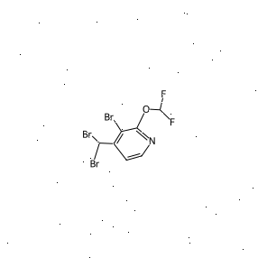 FC(F)Oc1nccc(C(Br)Br)c1Br